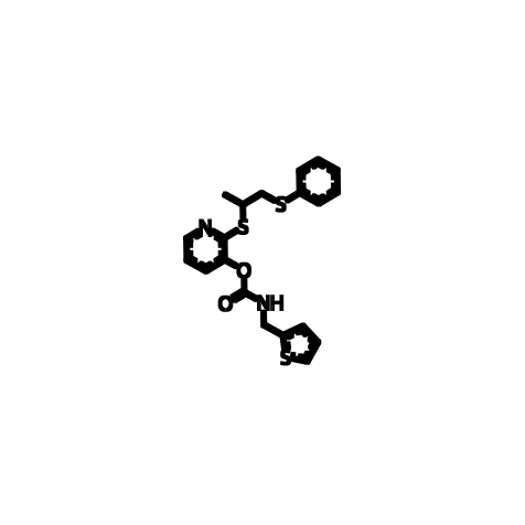 CC(CSc1ccccc1)Sc1ncccc1OC(=O)NCc1cccs1